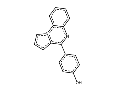 Oc1ccc(-c2nc3ccccc3n3cccc23)cc1